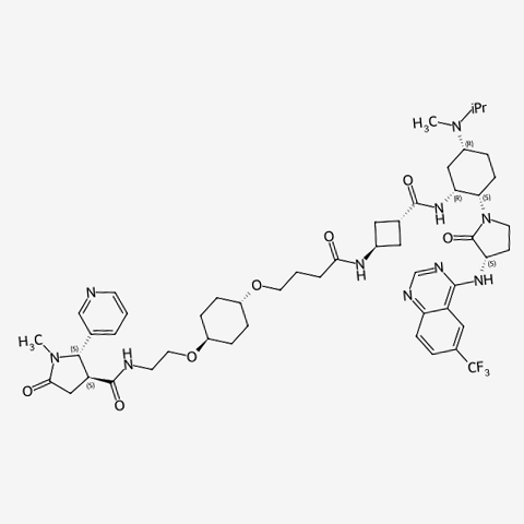 CC(C)N(C)[C@@H]1CC[C@H](N2CC[C@H](Nc3ncnc4ccc(C(F)(F)F)cc34)C2=O)[C@H](NC(=O)[C@H]2C[C@H](NC(=O)CCCO[C@H]3CC[C@H](OCCNC(=O)[C@H]4CC(=O)N(C)[C@@H]4c4cccnc4)CC3)C2)C1